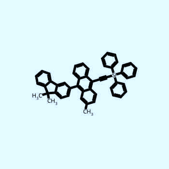 Cc1ccc2c(C#C[Si](c3ccccc3)(c3ccccc3)c3ccccc3)c3ccccc3c(-c3ccc4c(c3)-c3ccccc3C4(C)C)c2c1